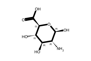 N[C@@H]1[C@@H](O)[C@H](O)[C@@H](C(=O)O)O[C@H]1O